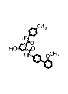 COc1ccccc1-c1ccc(NC(=O)[C@H]2C[C@@H](O)CN2C(=O)Nc2ccc(C)cc2)cc1